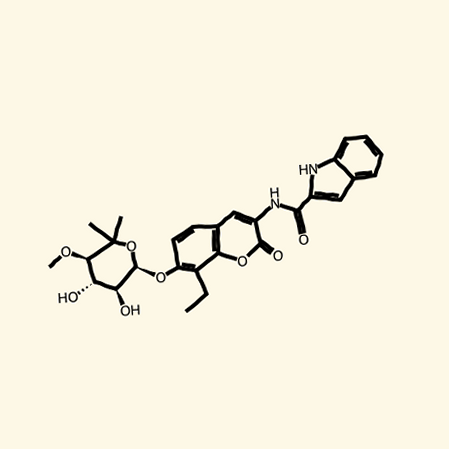 CCc1c(O[C@@H]2OC(C)(C)[C@H](OC)[C@@H](O)[C@@H]2O)ccc2cc(NC(=O)c3cc4ccccc4[nH]3)c(=O)oc12